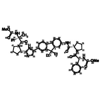 CCC1(CC)c2cc(NC(=O)[C@@H]3CCCN3C(=O)[C@H](NC(=O)OC)c3ccccc3)ccc2-c2ccc(-c3cnc([C@@H]4CCCN4C(=O)[C@](C)(NC(=O)OC)C(C)C)[nH]3)cc21